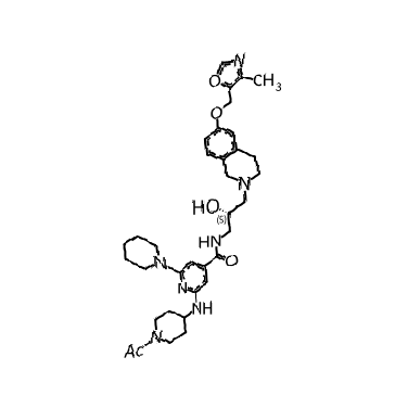 CC(=O)N1CCC(Nc2cc(C(=O)NC[C@H](O)CN3CCc4cc(OCc5ocnc5C)ccc4C3)cc(N3CCCCC3)n2)CC1